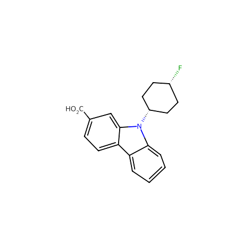 O=C(O)c1ccc2c3ccccc3n([C@H]3CC[C@@H](F)CC3)c2c1